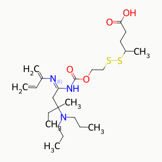 C=CC(=C)/N=C(\CC(C)(CC)N(CCC)CCC)NC(=O)OCCSSC(C)CCC(=O)O